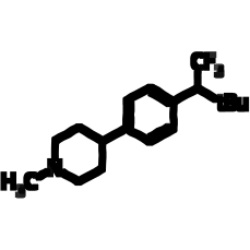 CN1CCC(c2ccc(C(C(C)(C)C)C(F)(F)F)cc2)CC1